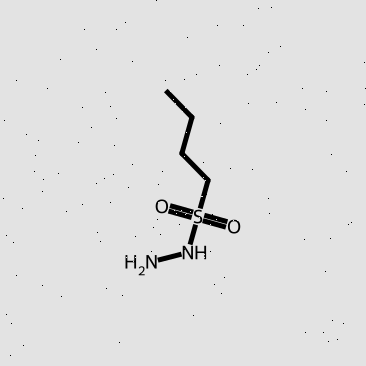 CCCCS(=O)(=O)NN